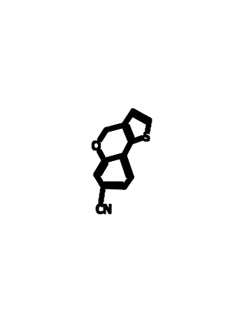 N#Cc1ccc2c(c1)OCc1ccsc1-2